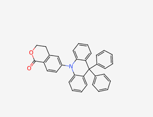 O=C1OCCc2cc(N3c4ccccc4C(c4ccccc4)(c4ccccc4)c4ccccc43)ccc21